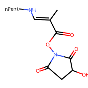 CCCCCNC=C(C)C(=O)ON1C(=O)CC(O)C1=O